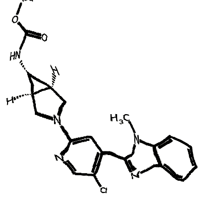 Cn1c(-c2cc(N3C[C@@H]4[C@H](C3)[C@H]4NC(=O)OC(C)(C)C)ncc2Cl)nc2ccccc21